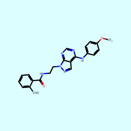 O=Cc1ccccc1C(=O)NCCn1ncc2c(Nc3ccc(OC(F)(F)F)cc3)ncnc21